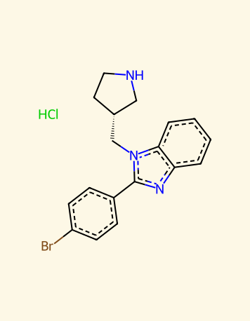 Brc1ccc(-c2nc3ccccc3n2C[C@@H]2CCNC2)cc1.Cl